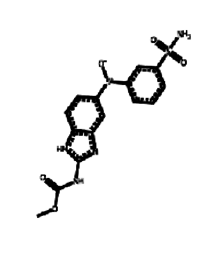 COC(=O)Nc1nc2cc([S+]([O-])c3cccc(S(N)(=O)=O)c3)ccc2[nH]1